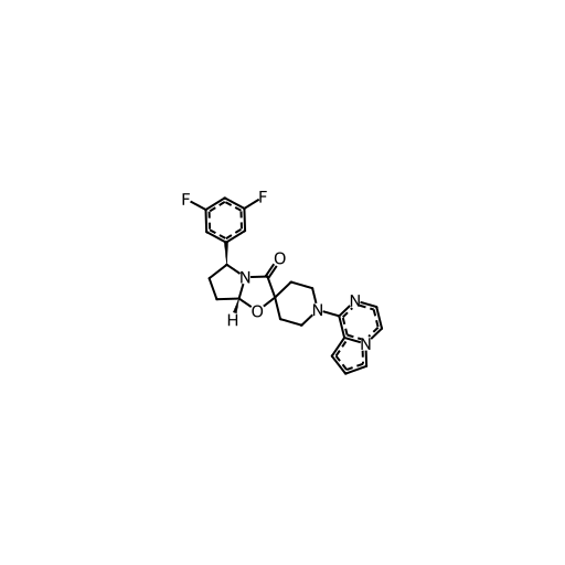 O=C1N2[C@@H](CC[C@H]2c2cc(F)cc(F)c2)OC12CCN(c1nccn3cccc13)CC2